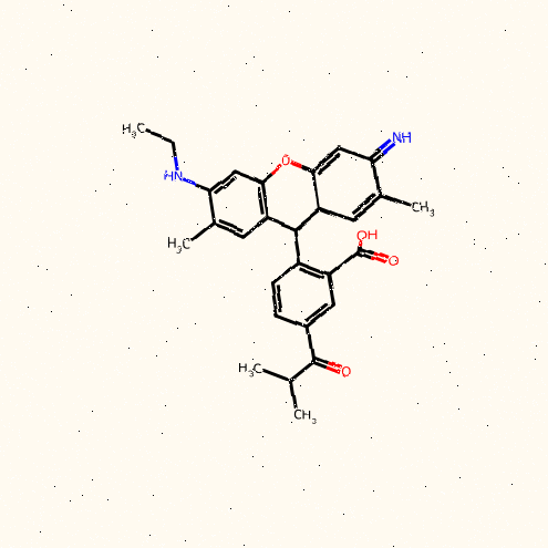 CCNc1cc2c(cc1C)C(c1ccc(C(=O)C(C)C)cc1C(=O)O)C1C=C(C)C(=N)C=C1O2